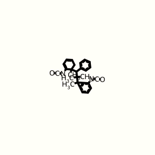 CC1(C(c2ccccc2)C(C)(C)C2(C)c3cccc(N=C=O)c32)CC=CC=C1N=C=O